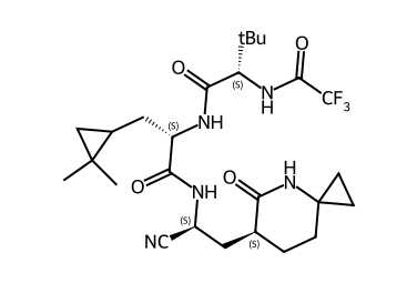 CC1(C)CC1C[C@H](NC(=O)[C@@H](NC(=O)C(F)(F)F)C(C)(C)C)C(=O)N[C@H](C#N)C[C@@H]1CCC2(CC2)NC1=O